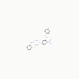 O=C(c1ccccc1F)N1CCN(c2ccc([N+](=O)[O-])c(NCc3ccccc3)c2)CC1